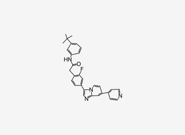 CC(C)(C)c1cccc(NC(=O)Cc2ccc(-c3cnc4cc(-c5ccncc5)ccn34)cc2F)c1